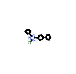 Clc1nc(-c2ccccc2)nc(-c2ccc(-c3ccccc3)cc2)n1